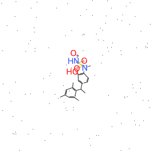 Cc1cc(C)c(C(C)c2ccc(N(C)S(=O)(=O)NC=O)c(O)c2)c(C)c1